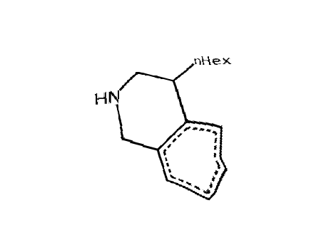 CCCCCCC1CNCc2ccccc21